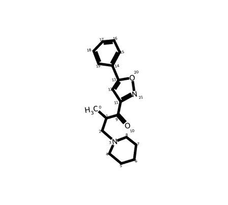 CC(CN1CCCCC1)C(=O)c1cc(-c2ccccc2)on1